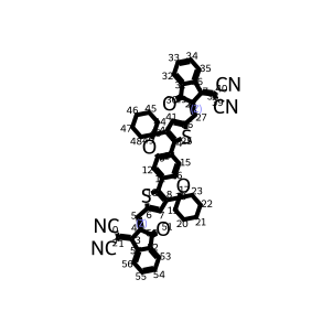 N#CC(C#N)=C1/C(=C/c2cc3c(s2)-c2cc4c(cc2OC32CCCCC2)-c2sc(/C=C3\C(=O)c5ccccc5C3=C(C#N)C#N)cc2C2(CCCCC2)O4)C(=O)c2ccccc21